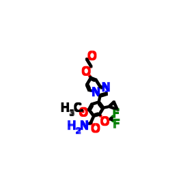 COc1cc(-c2cnc3cc(OCC=O)ccn23)c(C2CC2)c(OC(F)F)c1C(N)=O